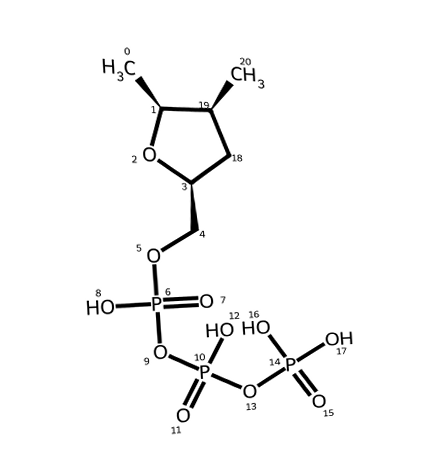 C[C@@H]1O[C@H](COP(=O)(O)OP(=O)(O)OP(=O)(O)O)C[C@@H]1C